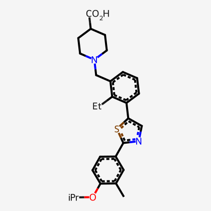 CCc1c(CN2CCC(C(=O)O)CC2)cccc1-c1cnc(-c2ccc(OC(C)C)c(C)c2)s1